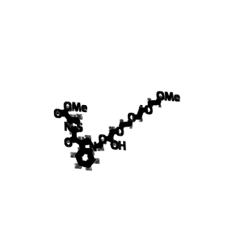 COCCOCCOCCOCC(O)OCn1cc(C(=O)c2nc(C(=O)OC)cs2)c2ccccc21